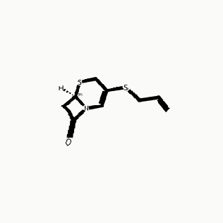 C=CCSC1=CN2C(=O)C[C@H]2SC1